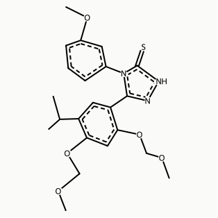 COCOc1cc(OCOC)c(C(C)C)cc1-c1n[nH]c(=S)n1-c1cccc(OC)c1